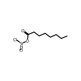 CCCCCCCC(=O)O[SiH](Cl)Cl